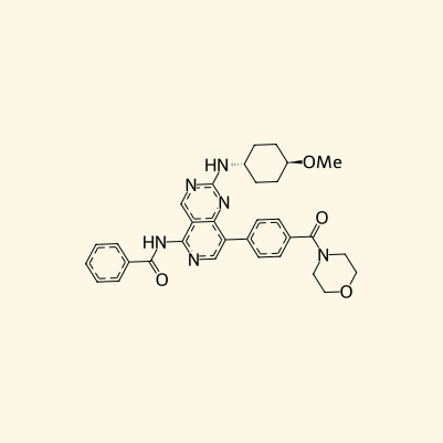 CO[C@H]1CC[C@H](Nc2ncc3c(NC(=O)c4ccccc4)ncc(-c4ccc(C(=O)N5CCOCC5)cc4)c3n2)CC1